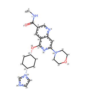 CCCNC(=O)c1cnc2cc(N3CCOCC3)nc(O[C@H]3CC[C@@H](n4ccnc4)CC3)c2c1